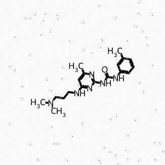 Cc1cccc(NC(=O)Nc2nc(C)cc(NCCCN(C)C)n2)c1